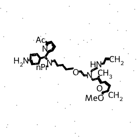 C=CCNCCN(CCOCCCCCN(CCC)C(c1cccc(C(C)=O)n1)C1C=CC(N)=CC1)C/C(C)=C/C=C\C(=C)C(=O)OC